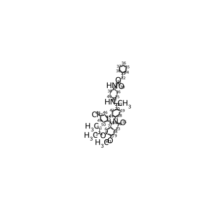 CCC(C)Oc1cc2c(cc1OC)CC(=O)N(c1ccc(C(C)NC3CCC(NC(=O)OCc4ccccc4)CC3)cc1)C2c1ccc(Cl)cc1